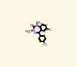 CN1N=C(c2ccc(Cl)cc2)c2cc(Cl)ccc2N(C)C1=O